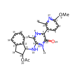 COc1ccc(-c2nc(C)c(NC3c4ccccc4CC3OC(C)=O)n(C)c2=O)c(C)n1